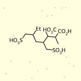 CCC(CC(CS(=O)(=O)O)C(C(=O)O)C(C)C(=O)O)CS(=O)(=O)O